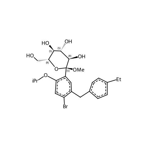 CCc1ccc(Cc2cc([C@]3(OC)O[C@H](CO)[C@@H](O)[C@H](O)[C@H]3O)c(OC(C)C)cc2Br)cc1